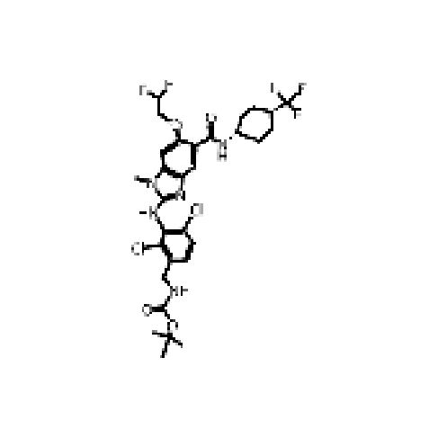 Cn1c(Nc2c(Cl)ccc(CNC(=O)OC(C)(C)C)c2Cl)nc2cc(C(=O)N[C@H]3CC[C@H](C(F)(F)F)CC3)c(OCC(F)F)cc21